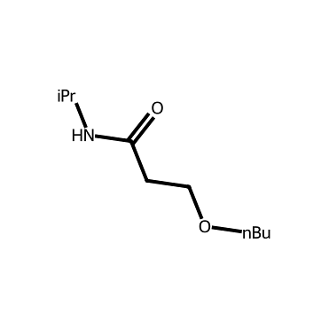 CCCCOCCC(=O)NC(C)C